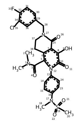 CN(C)C(=O)c1c2c(c(O)c(=O)n1-c1ccc(N(C)S(C)(=O)=O)cc1)C(=O)N(Cc1ccc(F)c(Cl)c1)CC2